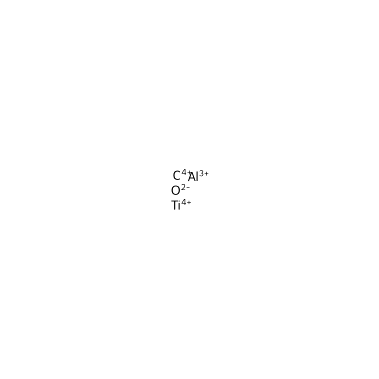 [Al+3].[C+4].[O-2].[Ti+4]